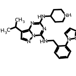 CC(C)c1cnn2c(NCc3ccccc3-n3cccn3)nc(NC3CCNCC3)nc12